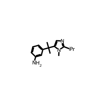 CC(C)c1ncc(C(C)(C)c2cccc(N)c2)n1C